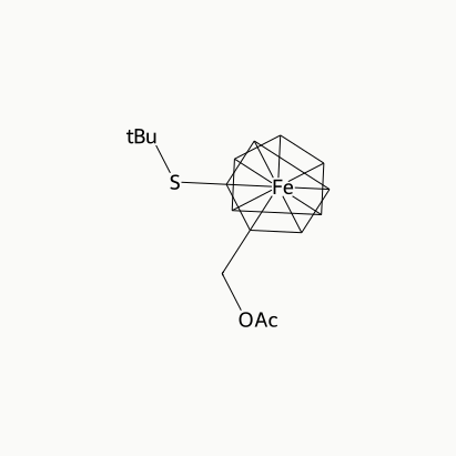 CC(=O)OC[C]12[CH]3[CH]4[CH]5[C]1(SC(C)(C)C)[Fe]43521678[CH]2[CH]1[CH]6[CH]7[CH]28